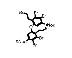 CCCCCCCCCc1cc(Oc2cc(CCCCCCCCC)c(Br)c(Br)c2CCBr)c(CCBr)c(Br)c1Br